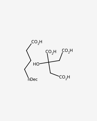 CCCCCCCCCCCCCC(=O)O.O=C(O)CC(O)(CC(=O)O)C(=O)O